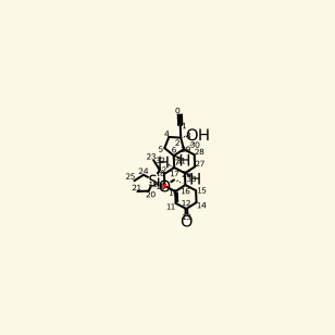 C#C[C@]1(O)CC[C@H]2[C@@H]3CCC4=CC(=O)CC[C@]4(CO[Si](CC)(CC)CC)[C@H]3CC[C@@]21C